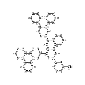 N#Cc1cccc(-c2cc(-c3ccc4c5ccccc5c5ccccc5c4c3)c3cc(-c4ccc5c6ccccc6c6ccccc6c5c4)c4ccccc4c3n2)c1